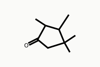 CC1C(=O)CC(C)(C)C1C